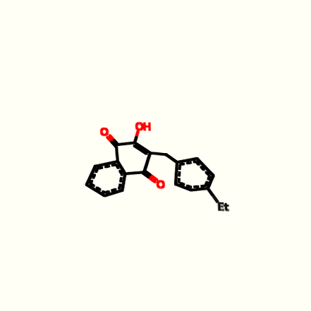 CCc1ccc(CC2=C(O)C(=O)c3ccccc3C2=O)cc1